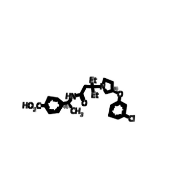 CCC(CC)(CC(=O)N[C@@H](C)c1ccc(C(=O)O)cc1)N1CC[C@@H](Oc2cccc(Cl)c2)C1